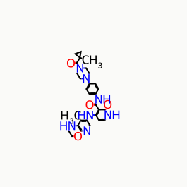 Cc1c(Nc2cc[nH]c(=O)c2C(=O)Nc2ccc(N3CCN(C(=O)C4(C)CC4)CC3)cc2)cnc2c1NCCO2